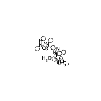 C[C@H]1CC[C@H]2[C@H](C1)c1c(c3ccccc3c3nc4ccc(C(=O)N(C5CCCCC5)C(C(=O)NC5CCCCC5)c5ccccc5)cc4nc13)OC2(C)C